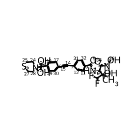 CC(O)(C(F)F)[C@H](NC(=O)c1ccc(C#Cc2ccc(C(O)(O)N3CCSCC3)cc2)cc1)C(=O)NO